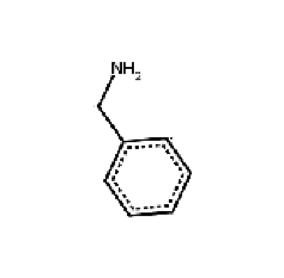 N[CH]c1[c]cccc1